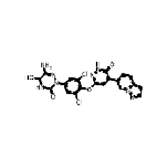 NC1=NN(c2cc(Cl)c(Oc3cc(-c4ccc5ccnn5c4)c(=O)[nH]n3)c(Cl)c2)C(=O)NC1O